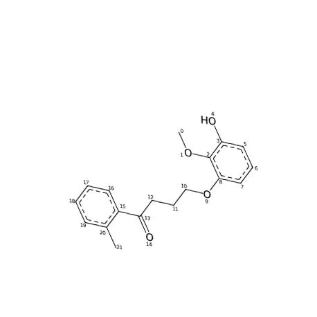 COc1c(O)cccc1OCCCC(=O)c1ccccc1C